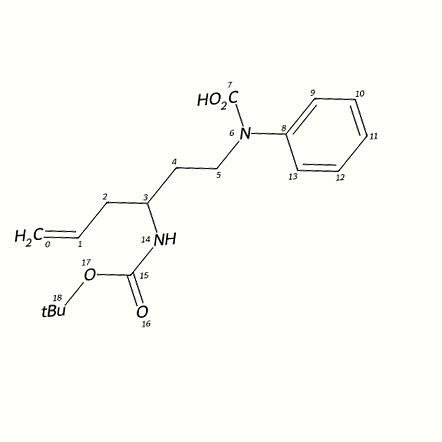 C=CCC(CCN(C(=O)O)c1ccccc1)NC(=O)OC(C)(C)C